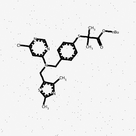 CCCCOC(=O)C(C)(C)Sc1ccc(CN(Cc2sc(C)nc2C)c2cc(Cl)ncn2)cc1